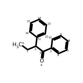 CCC(C(=O)c1ccccc1)c1ccccc1